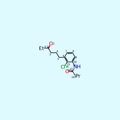 CCC(=O)CCCc1cccc(NC(=O)C(C)C)c1Cl